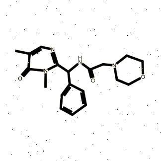 Cc1cnc(C(NC(=O)CN2CCOCC2)c2ccccc2)n(C)c1=O